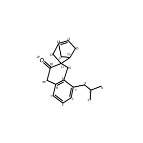 CC(C)Cc1cccc2c1CC1(CC3=CCC1C3)C(=O)C2